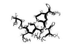 CC(C)C(=O)N(c1cc(C(N)=O)ccn1)C(C)c1cnc(OCC(F)(F)F)c(CO)c1